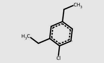 CCc1c[c]c(Cl)c(CC)c1